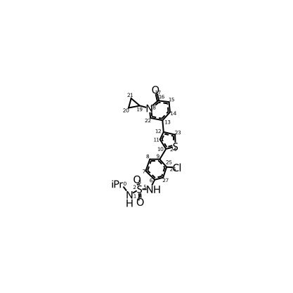 CC(C)NS(=O)(=O)Nc1ccc(-c2cc(-c3ccc(=O)n(C4CC4)c3)cs2)c(Cl)c1